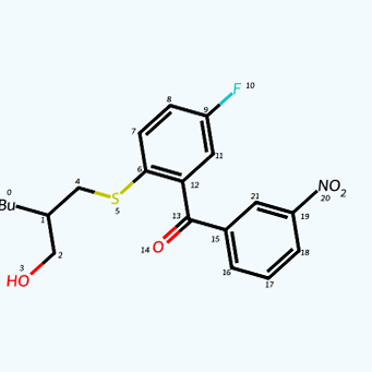 CCCCC(CO)CSc1ccc(F)cc1C(=O)c1cccc([N+](=O)[O-])c1